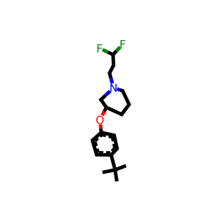 CC(C)(C)c1ccc(OC2CCCN(CCC(F)F)C2)cc1